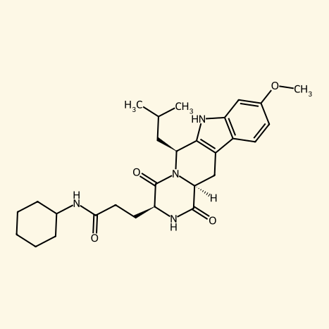 COc1ccc2c3c([nH]c2c1)[C@H](CC(C)C)N1C(=O)[C@H](CCC(=O)NC2CCCCC2)NC(=O)[C@@H]1C3